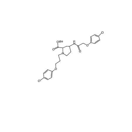 COC(=O)C1CC(NC(=O)COc2ccc(Cl)cc2)CCN1CCCOc1ccc(Cl)cc1